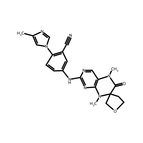 Cc1cn(-c2ccc(Nc3ncc4c(n3)N(C)C3(CCOC3)C(=O)N4C)cc2C#N)cn1